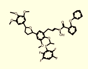 COc1cc(C2CCC(c3cc(OC)c(OC)c(OC)c3)O2)cc(C/C=C/N(O)C(=O)c2ccccc2Oc2ccccc2)c1OC(C)Sc1c(F)c(F)cc(F)c1F